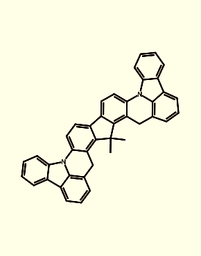 CC1(C)c2c(ccc3c2Cc2cccc4c5ccccc5n-3c24)-c2ccc3c(c21)Cc1cccc2c4ccccc4n-3c12